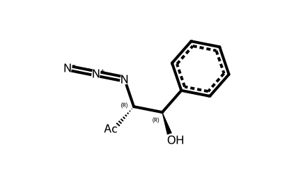 CC(=O)[C@H](N=[N+]=[N-])[C@H](O)c1ccccc1